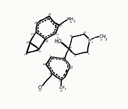 CN1CCC(O)(c2ccc(Cl)c(C(F)(F)F)c2)CC1.Nc1ccc2c(c1)C1CC21